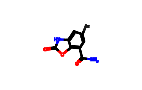 CC(=O)c1cc(C(N)=O)c2oc(=O)[nH]c2c1